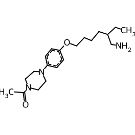 CCC(CN)CCCCOc1ccc(N2CCN(C(C)=O)CC2)cc1